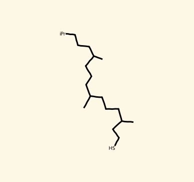 CC(C)CCCC(C)CCCC(C)CCCC(C)CCS